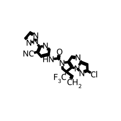 C=C[C@@]1(C(F)(F)F)CN(C(=O)Nc2cnc(-n3nccn3)c(C#N)c2)c2cnc3cc(Cl)nn3c21